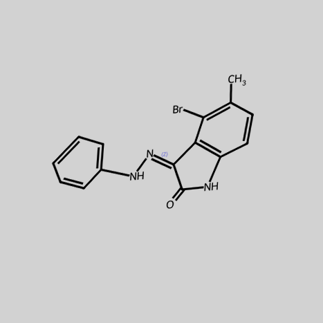 Cc1ccc2c(c1Br)/C(=N/Nc1ccccc1)C(=O)N2